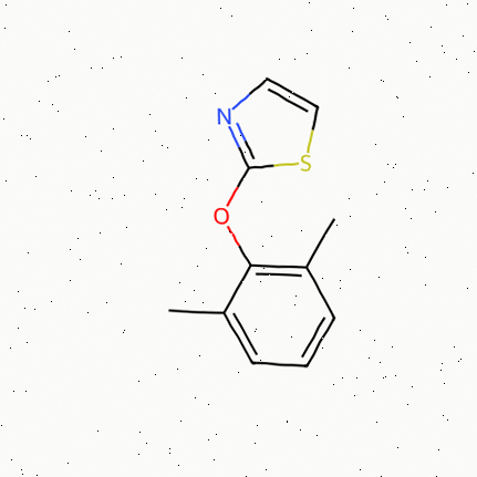 Cc1cccc(C)c1Oc1nccs1